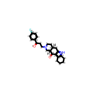 O=C(CCN1CC[C@H]2Cc3[nH]c4c(c3C(=O)[C@@H]2C1)CCCC4)c1ccc(F)cc1